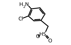 Nc1ccc(C[SH](=O)=O)cc1Cl